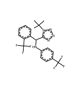 CC(C)(C)n1nnnc1C(Nc1ccc(C(F)(F)F)cc1)c1ccccc1C(F)(F)F